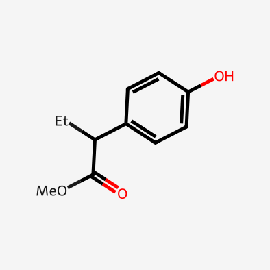 CCC(C(=O)OC)c1ccc(O)cc1